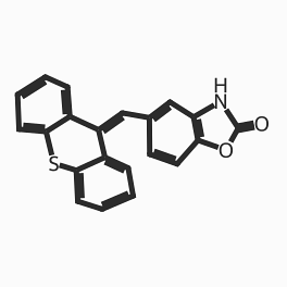 O=c1[nH]c2cc(C=C3c4ccccc4Sc4ccccc43)ccc2o1